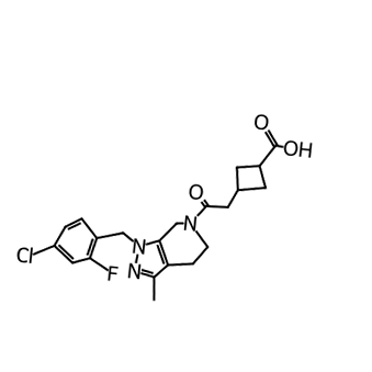 Cc1nn(Cc2ccc(Cl)cc2F)c2c1CCN(C(=O)CC1CC(C(=O)O)C1)C2